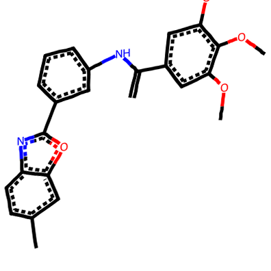 C=C(Nc1cccc(-c2nc3ccc(C)cc3o2)c1)c1cc(OC)c(OC)c(OC)c1